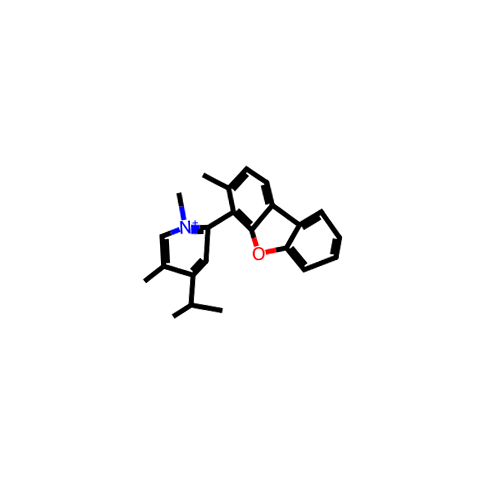 Cc1c[n+](C)c(-c2c(C)ccc3c2oc2ccccc23)cc1C(C)C